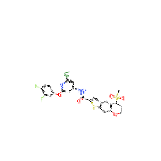 CS(=O)(=O)C1CCOc2cc3sc(C(=O)Nc4cc(Cl)nc(Oc5ccc(F)c(F)c5)c4)cc3cc21